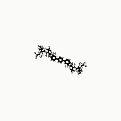 CN(C)C(=O)OC(C)(C(=O)N[C@H](c1nc2ccc(-c3ccc(-c4ccc5nc([C@@H](NC(=O)[C@](C)(OC(=O)N(C)C)C(C)(C)CF)C(C)(C)C)[nH]c5c4)cc3)cc2[nH]1)C(C)(C)C)C(C)(C)CF